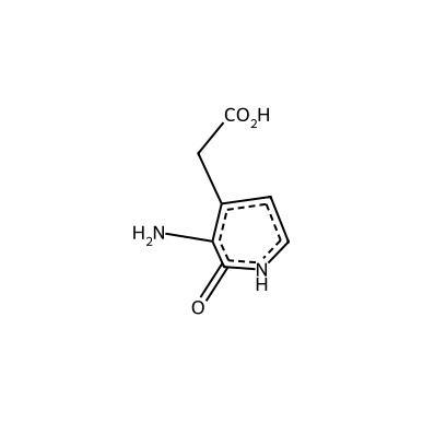 Nc1c(CC(=O)O)cc[nH]c1=O